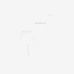 CC(C)c1nc(C(=O)C(N)=O)cs1